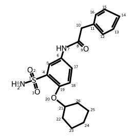 NS(=O)(=O)c1cc(NC(=O)Cc2ccccc2)ccc1OC1CCCCC1